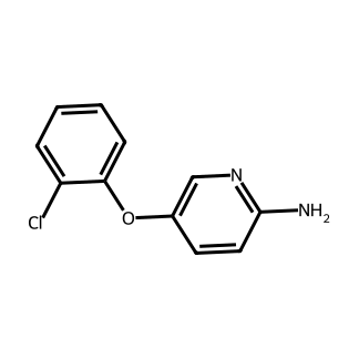 Nc1ccc(Oc2ccccc2Cl)cn1